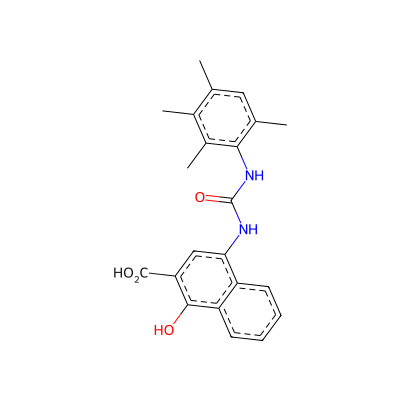 Cc1cc(C)c(NC(=O)Nc2cc(C(=O)O)c(O)c3ccccc23)c(C)c1C